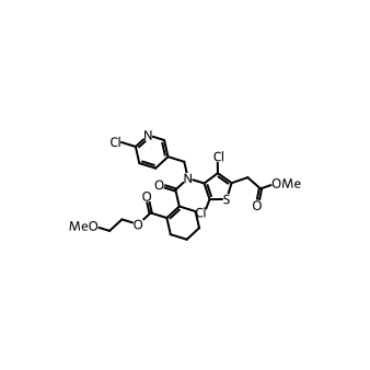 COCCOC(=O)C1=C(C(=O)N(Cc2ccc(Cl)nc2)c2c(Cl)sc(CC(=O)OC)c2Cl)CCCC1